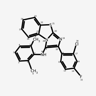 Cc1cccc(C)c1Nc1c(-c2ccc(F)cc2Cl)nc2sc3ccccc3n12